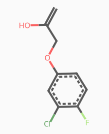 C=C(O)COc1ccc(F)c(Cl)c1